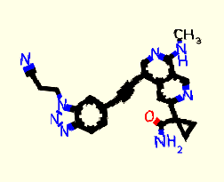 CNc1ncc(C#Cc2ccc3nnn(CCC#N)c3c2)c2cc(C3(C(N)=O)CC3)ncc12